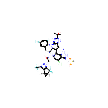 Cn1nc(NS(C)(=O)=O)c2c(Cl)ccc(-c3cc4[nH]c(C(C)(C)O)nc4nc3[C@H](Cc3cc(F)cc(F)c3)NC(=O)Cn3nc(C(F)(F)F)c4c3C(F)(F)[C@H]3C[C@H]43)c21